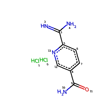 Cl.Cl.N=C(N)c1ccc(C(N)=O)cn1